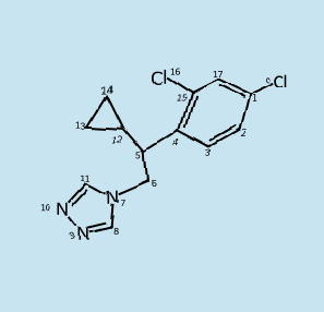 Clc1ccc(C(Cn2cnnc2)C2CC2)c(Cl)c1